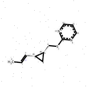 C/C=C/[C@H]1C[C@H]1CSc1ncccn1